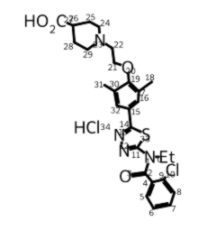 CCN(C(=O)c1ccccc1Cl)c1nnc(-c2cc(C)c(OCCN3CCC(C(=O)O)CC3)c(C)c2)s1.Cl